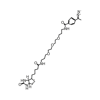 CC(=[N+]=[N-])c1ccc(C(=O)NCCCOCCOCCOCCCNC(=O)CCCCC2SC[C@@H]3NC(=O)N[C@H]23)cc1